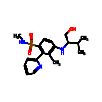 CNS(=O)(=O)c1ccc(N[C@@H](CO)C(C)C)c(C)c1-c1ccccn1